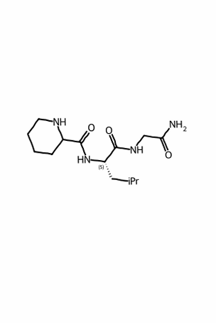 CC(C)C[C@H](NC(=O)C1CCCCN1)C(=O)NCC(N)=O